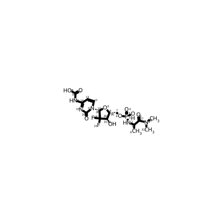 CC(NP(=O)(O)OC[C@H]1O[C@@H](n2ccc(NC(=O)O)nc2=O)C(F)(F)[C@@H]1O)C(=O)N(C)C